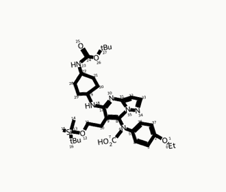 CCOc1ccc(N(C(=O)O)c2c(CCO[Si](C)(C)C(C)(C)C)c(NC3CCC(NC(=O)OC(C)(C)C)CC3)nc3ccnn23)cc1